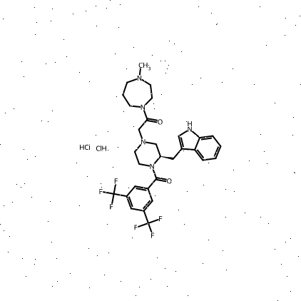 CN1CCCN(C(=O)CN2CCN(C(=O)c3cc(C(F)(F)F)cc(C(F)(F)F)c3)[C@H](Cc3c[nH]c4ccccc34)C2)CC1.Cl.Cl